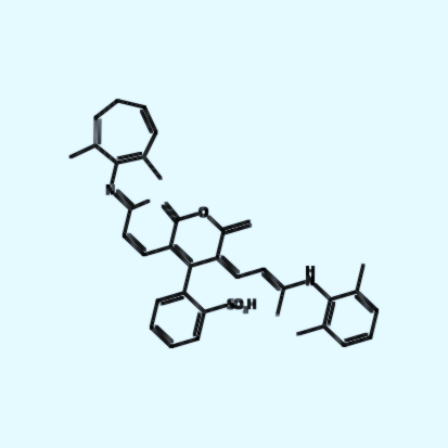 C=C1OC(=C)/C(=C\C=C(/C)Nc2c(C)cccc2C)C(c2ccccc2S(=O)(=O)O)=C1/C=C\C(C)=N\C1=C(C)C=CCC=C1C